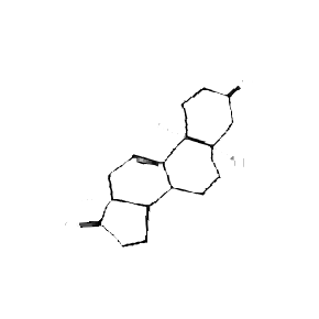 C[C@]12CC=C3C(CC[C@@H]4CC(=O)CC[C@]34C)C1CCC2=O